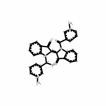 C[n+]1cccc(C(=O)N2/C(=C3\C(=O)c4ccccc4N3C(O)c3ccc[n+](C)c3)C(=O)c3ccccc32)c1